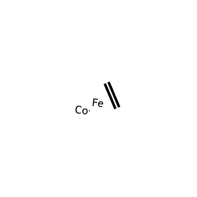 C=C.[Co].[Fe]